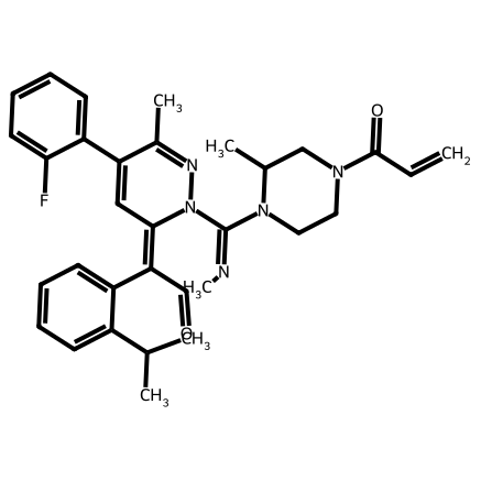 C=CC(=O)N1CCN(/C(=N/C)N2N=C(C)C(c3ccccc3F)=C/C2=C(/C=O)c2ccccc2C(C)C)C(C)C1